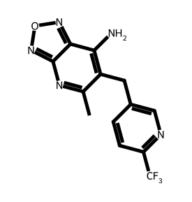 Cc1nc2nonc2c(N)c1Cc1ccc(C(F)(F)F)nc1